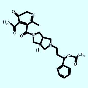 CC1=NCC(=O)C(C(N)=O)=C1C(=O)N1CC2CN(CCC(OC(=O)C(F)(F)F)c3ccccc3)C[C@H]2C1